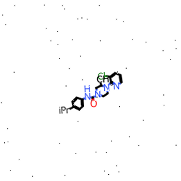 CC(C)c1ccc(NC(=O)N2CCN(c3ncccc3Cl)C(C)C2)cc1